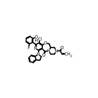 C=CC(=O)N1CCN2C(=O)c3c(N4CCc5ccccc54)nc(-c4c(O)cccc4F)c(Cl)c3OCC2C1